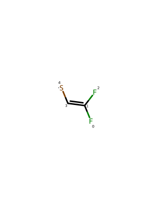 FC(F)=C[S]